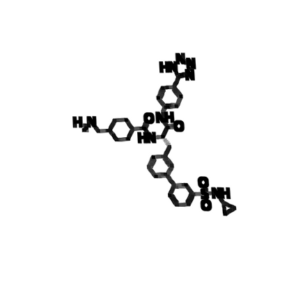 NCC1CCC(C(=O)N[C@@H](Cc2cccc(-c3cccc(S(=O)(=O)NC4CC4)c3)c2)C(=O)Nc2ccc(-c3nnn[nH]3)cc2)CC1